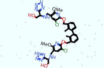 COc1nc(OCc2cccc(-c3cccc(COc4nc(OC)c(CNC(CO)c5nn[nH]n5)cc4Cl)c3C)c2C)c(Cl)cc1CNC(CO)c1nn[nH]n1